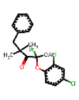 CC(=O)OC(Br)(Oc1ccc(Cl)cc1Cl)C(=O)C(C)(C)Cc1ccccc1